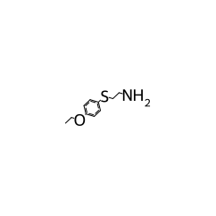 CCOc1ccc(SCCN)cc1